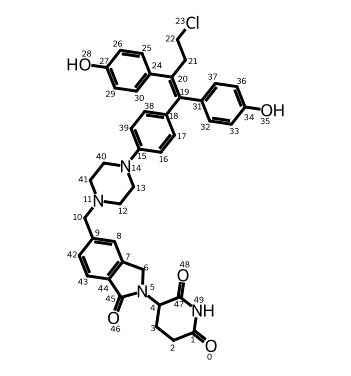 O=C1CCC(N2Cc3cc(CN4CCN(c5ccc(C(=C(CCCl)c6ccc(O)cc6)c6ccc(O)cc6)cc5)CC4)ccc3C2=O)C(=O)N1